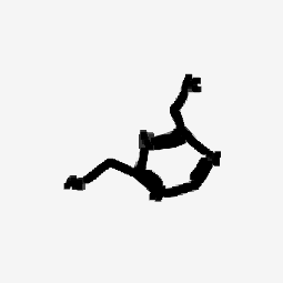 CC(=O)c1ncnc(C(C)=O)n1